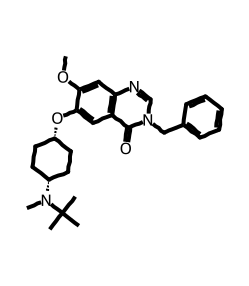 COc1cc2ncn(Cc3ccccc3)c(=O)c2cc1O[C@H]1CC[C@@H](N(C)C(C)(C)C)CC1